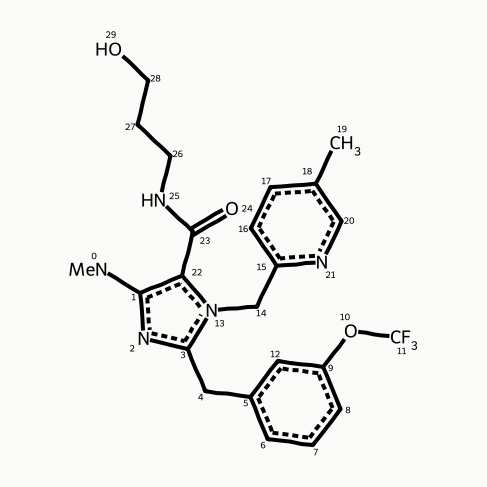 CNc1nc(Cc2cccc(OC(F)(F)F)c2)n(Cc2ccc(C)cn2)c1C(=O)NCCCO